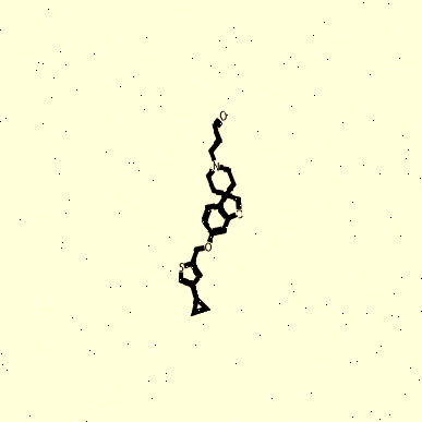 O=CCCN1CCC2(CC1)COc1cc(OCc3cc(C4CC4)cs3)ccc12